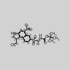 CC(C)(C)OC(=O)NNS(=O)(=O)c1ccc2c3c(cc([N+](=O)[O-])c2c1)NCC3CCl